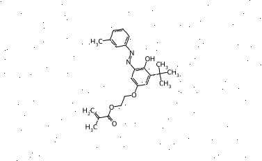 C=C(C)C(=O)OCCOc1cc(N=Nc2cccc(C)c2)c(O)c(C(C)(C)C)c1